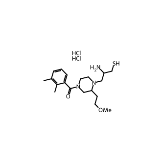 COCCC1CN(C(=O)c2cccc(C)c2C)CCN1CC(N)CS.Cl.Cl